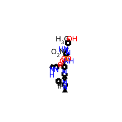 CC(C)c1ccccc1[C@@H]1CN(C2CC2)CCN1C1CC2(CCN(c3ccc(C(=O)NS(=O)(=O)c4cnc(NC[C@H]5CC[C@](C)(O)CC5)c([N+](=O)[O-])c4)c(Oc4cnc5[nH]ccc5c4)c3)CC2)C1